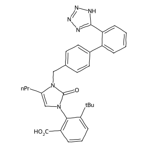 CCCc1cn(-c2c(C(=O)O)cccc2C(C)(C)C)c(=O)n1Cc1ccc(-c2ccccc2-c2nnn[nH]2)cc1